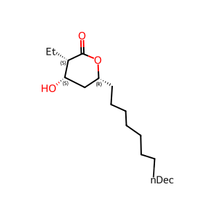 CCCCCCCCCCCCCCCCC[C@@H]1C[C@H](O)[C@H](CC)C(=O)O1